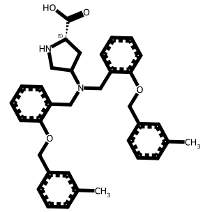 Cc1cccc(COc2ccccc2CN(Cc2ccccc2OCc2cccc(C)c2)C2CN[C@H](C(=O)O)C2)c1